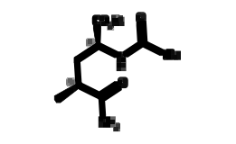 CCOC(=O)[C@H](C[C@H](C)C(N)=O)NC(=O)C(C)(C)C